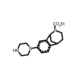 CCOC(=O)N1CCC2CC1c1cc(N3CCNCC3)ccc12